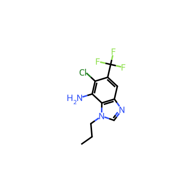 CCCn1cnc2cc(C(F)(F)F)c(Cl)c(N)c21